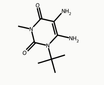 Cn1c(=O)c(N)c(N)n(C(C)(C)C)c1=O